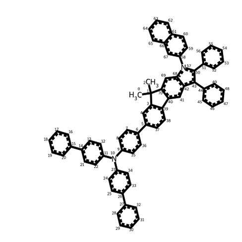 CC1(C)c2cc(-c3ccc(N(c4ccc(-c5ccccc5)cc4)c4ccc(-c5ccccc5)cc4)cc3)ccc2-c2cc3c(-c4ccccc4)c(-c4ccccc4)n(-c4ccc5ccccc5c4)c3cc21